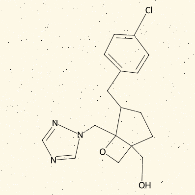 OCC12CCC(Cc3ccc(Cl)cc3)C1(Cn1cncn1)OC2